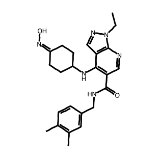 CCn1ncc2c(NC3CCC(=NO)CC3)c(C(=O)NCc3ccc(C)c(C)c3)cnc21